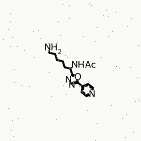 CC(=O)N[C@@H](CCCCCN)c1nnc(-c2ccncc2)o1